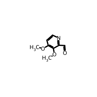 COc1ccnc(C=O)c1OC